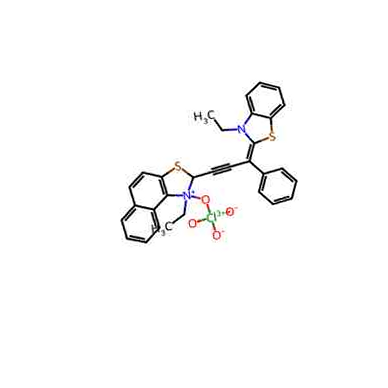 CCN1C(=C(C#CC2Sc3ccc4ccccc4c3[N+]2(CC)O[Cl+3]([O-])([O-])[O-])c2ccccc2)Sc2ccccc21